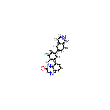 O=c1cnc2ccccc2n1Cc1ccc(-c2ccc3cnccc3c2)cc1F